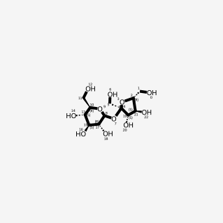 OC[C@H]1O[C@](CO)(OC2O[C@H](CO)[C@@H](O)[C@H](O)[C@H]2O)[C@@H](O)[C@@H]1O